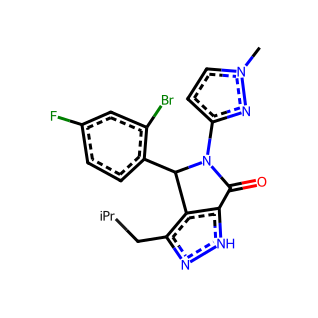 CC(C)Cc1n[nH]c2c1C(c1ccc(F)cc1Br)N(c1ccn(C)n1)C2=O